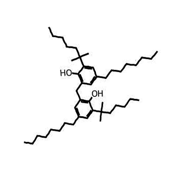 CCCCCCCCc1cc(Cc2cc(CCCCCCCC)cc(C(C)(C)CCCCC)c2O)c(O)c(C(C)(C)CCCCC)c1